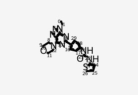 CCn1nnc2c(N3CCOCC3)nc(-c3ccc(NC(=O)Nc4cccs4)cc3)nc21